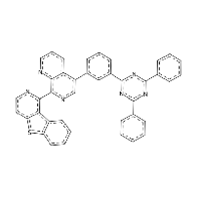 c1ccc(-c2nc(-c3ccccc3)nc(-c3cccc(-c4cnc(-c5nccc6sc7ccccc7c56)c5ncccc45)c3)n2)cc1